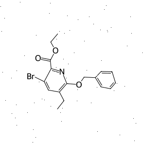 CCOC(=O)c1nc(OCc2ccccc2)c(CC)cc1Br